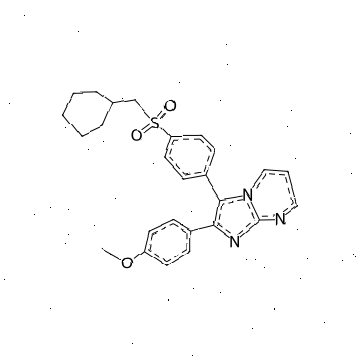 COc1ccc(-c2nc3ncccn3c2-c2ccc(S(=O)(=O)CC3CCCCC3)cc2)cc1